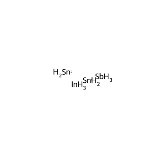 [InH3].[SbH3].[SnH2].[SnH2]